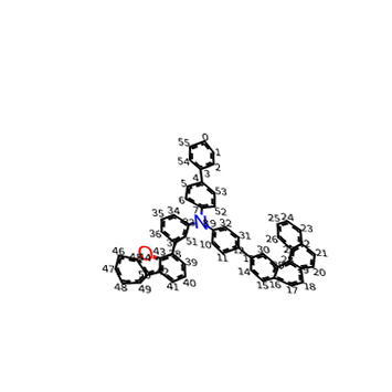 c1ccc(-c2ccc(N(c3ccc(-c4ccc5ccc6ccc7ccccc7c6c5c4)cc3)c3cccc(-c4cccc5c4oc4ccccc45)c3)cc2)cc1